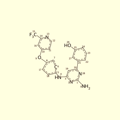 Nc1nc(Nc2ccc(Oc3ccnc(C(F)(F)F)c3)cc2)cc(-c2cccc(O)c2)n1